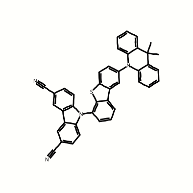 CC1(C)c2ccccc2N(c2ccc3sc4c(-n5c6ccc(C#N)cc6c6cc(C#N)ccc65)cccc4c3c2)c2ccccc21